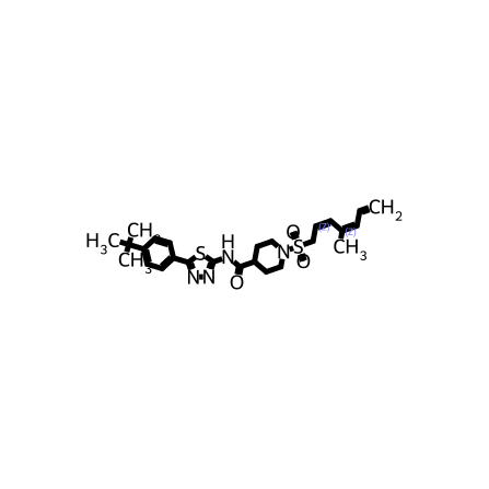 C=C/C=C(C)\C=C/CS(=O)(=O)N1CCC(C(=O)Nc2nnc(-c3ccc(C(C)(C)C)cc3)s2)CC1